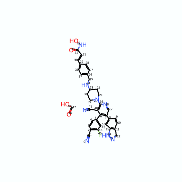 N#Cc1ccc(-c2c(-c3ccc4cn[nH]c4c3)cnc(N3CCC(NCc4ccc(/C=C/C(=O)NO)cc4)CC3)c2C#N)cc1F.O=CO